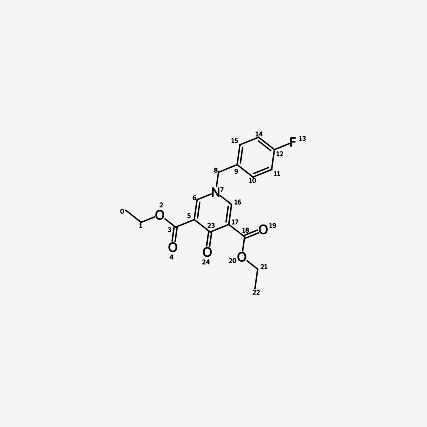 CCOC(=O)c1cn(Cc2ccc(F)cc2)cc(C(=O)OCC)c1=O